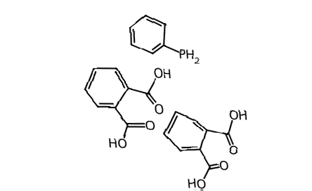 O=C(O)c1ccccc1C(=O)O.O=C(O)c1ccccc1C(=O)O.Pc1ccccc1